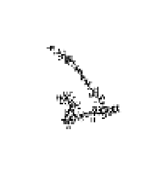 CC[C@@]1(O)C(=O)OCc2c1cc1n(c2=O)Cc2c-1nc1cc(F)c(C)c3c1c2[C@@H](NC(=O)COCNC(=O)CNC(=O)[C@H](Cc1ccccc1)NC(=O)CNC(=O)CNC(=O)CCOCCOCCOCCOCc1cn(CC(=O)NCC(C)(C)C)nn1)CC3